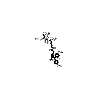 CC(=O)Oc1ccc2c(c1)Oc1cc(OC(C)=O)ccc1C21OC(=O)c2ccc(CC(=O)NCCCC[C@H](NC(=O)N[C@@H](CCC(=O)O)C(=O)O)C(=O)O)cc21